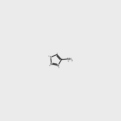 Nc1csnn1